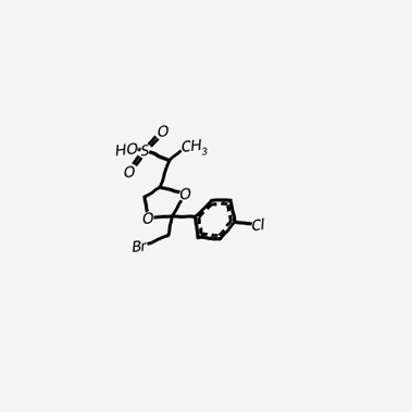 CC(C1COC(CBr)(c2ccc(Cl)cc2)O1)S(=O)(=O)O